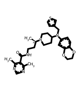 Cc1ncnc(C)c1C(=O)NCC[C@@H](C)N1CCC(N(Cc2ccsc2)c2ccc3c(c2)OCCO3)CC1